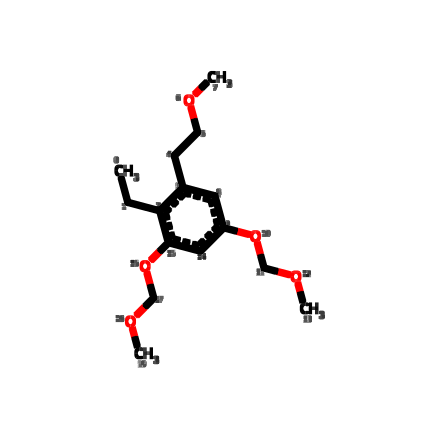 CCc1c(CCOC)[c]c(OCOC)cc1OCOC